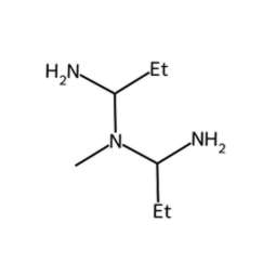 CCC(N)N(C)C(N)CC